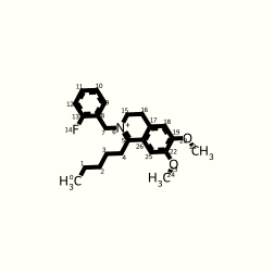 CCCCCC1=[N+](Cc2ccccc2F)CCc2cc(OC)c(OC)cc21